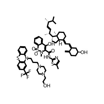 C=C1CC[C@H](O)C/C1=C/C=C1\CCC[C@]2(C)[C@@H]([C@H](C)/C=C/[C@H](C)C(C)C)CC[C@@H]12.Cc1cnc(NC(=O)C2=C(O)c3ccccc3S(=O)(=O)N2C)s1.OCCN1CCN(CCCN2c3ccccc3Sc3ccc(C(F)(F)F)cc32)CC1